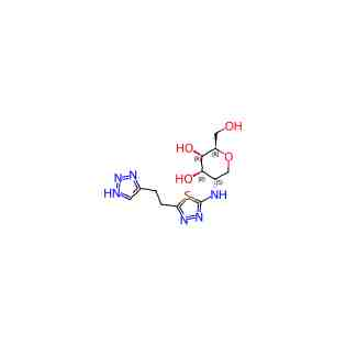 OC[C@H]1OC[C@H](Nc2nnc(CCc3c[nH]nn3)s2)[C@@H](O)[C@H]1O